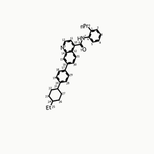 CCCc1ccccc1NC(=O)c1ccnc2cc(-c3ccc(C4CCC(CC)CC4)cc3)ccc12